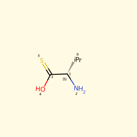 CC(C)[C@H](N)C(O)=S